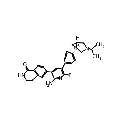 CC(C)N1C[C@@H]2C[C@]2(c2ccc(-c3cc(-c4ccc5c(c4)CCNC5=O)c(N)nc3F)cc2)C1